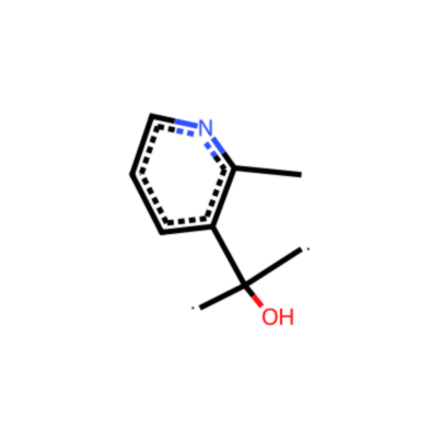 [CH2]C([CH2])(O)c1cccnc1C